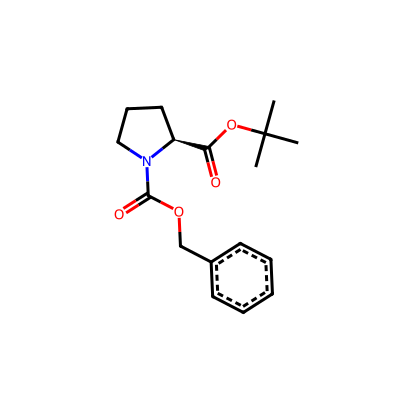 CC(C)(C)OC(=O)[C@@H]1CCCN1C(=O)OCc1ccccc1